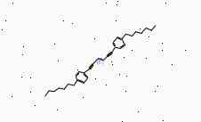 CCCCCCCc1ccc(C#C/C=C/C#Cc2ccc(CCCCCCC)cc2)cc1